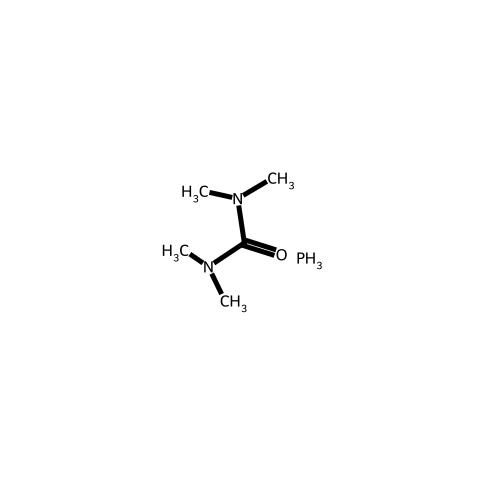 CN(C)C(=O)N(C)C.P